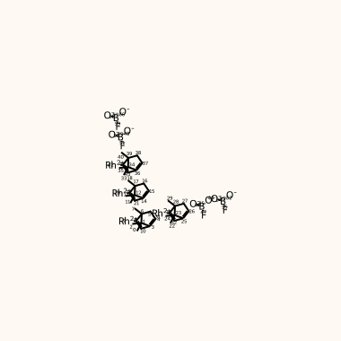 CC1(C)C2=CCC1(C)[C]([Rh+2])=C2.CC1(C)C2=CCC1(C)[C]([Rh+2])=C2.CC1(C)C2=CCC1(C)[C]([Rh+2])=C2.CC1(C)C2=CCC1(C)[C]([Rh+2])=C2.[O-]B([O-])F.[O-]B([O-])F.[O-]B([O-])F.[O-]B([O-])F